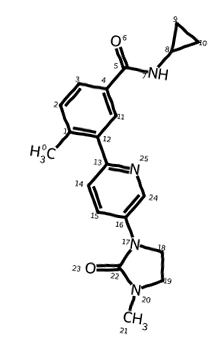 Cc1ccc(C(=O)NC2CC2)cc1-c1ccc(N2CCN(C)C2=O)cn1